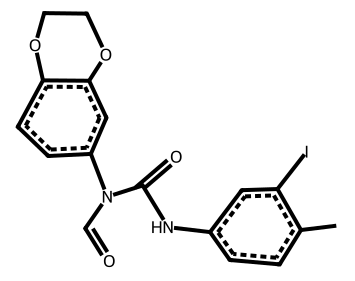 Cc1ccc(NC(=O)N(C=O)c2ccc3c(c2)OCCO3)cc1I